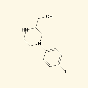 OCC1CN(c2ccc(I)cc2)CCN1